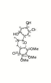 COc1cc(CN(C)C(=O)c2cc(Cl)c(O)cc2O)c(Cl)c(OC)c1OC